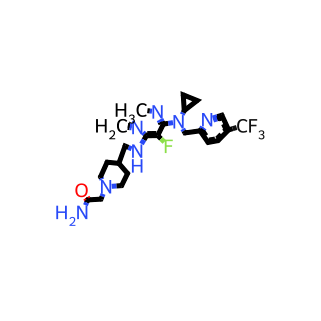 C=N/C(NCC1CCN(CC(N)=O)CC1)=C(F)\C(=N/C)N(Cc1ccc(C(F)(F)F)cn1)C1CC1